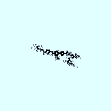 COC(=O)N[C@H](C(=O)N1C[C@@H](S(C)(=O)=O)C[C@H]1c1nc(-c2ccc(-c3ccc(C(=O)Nc4ccc(NCCNC(=O)C(C)(C)C)nc4)cc3OC(F)(F)F)cc2)c[nH]1)C(C)C